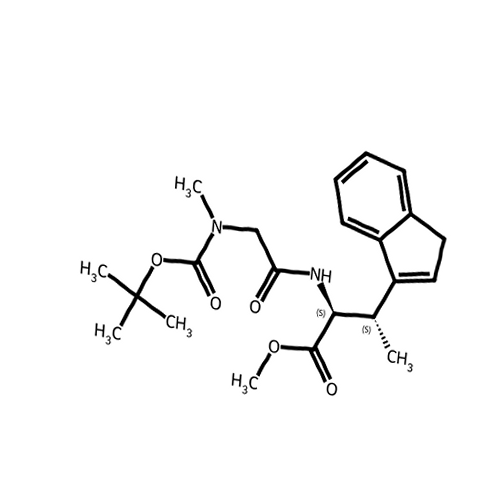 COC(=O)[C@@H](NC(=O)CN(C)C(=O)OC(C)(C)C)[C@@H](C)C1=CCc2ccccc21